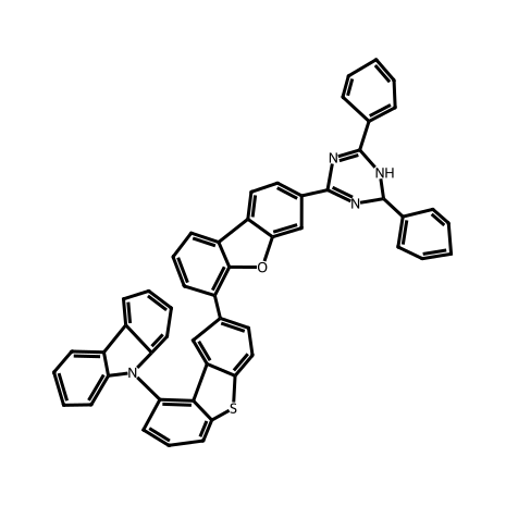 c1ccc(C2=NC(c3ccc4c(c3)oc3c(-c5ccc6sc7cccc(-n8c9ccccc9c9ccccc98)c7c6c5)cccc34)=NC(c3ccccc3)N2)cc1